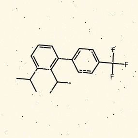 CC(C)c1cccc(-c2ccc(C(F)(F)F)cc2)c1C(C)C